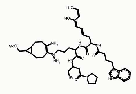 C\C=C/C(O)=C\C=C\CC(NC(=O)CCCc1c[nH]c2ccccc12)C(=O)NC(CCCN(N)/C1=C(\N)CCC2C(CC1)C2COC)C(=O)NC(CC(=O)N1CCCC1)CC(C)C